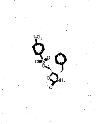 O=C1N[C@@H](Cc2ccccc2)[C@@H](COS(=O)(=O)c2ccc([N+](=O)[O-])cc2)O1